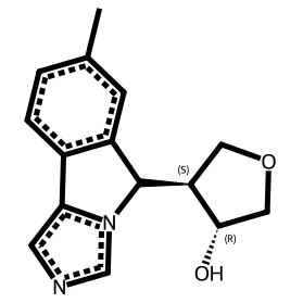 Cc1ccc2c(c1)C([C@H]1COC[C@@H]1O)n1cncc1-2